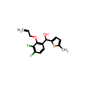 C=CCOc1c(C(O)c2ccc(C)s2)ccc(F)c1F